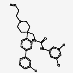 COCCN1CCC(CNC(=O)Nc2cc(Cl)cc(Cl)c2)(c2ccc(-c3cccc(Cl)c3)cc2)CC1